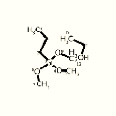 CCC[Si](OC)(OC)OC.CCO